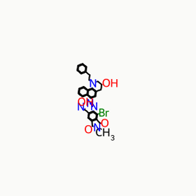 CN1C(=O)c2cc(C#N)c(/N=N/c3cc4c(c5cccc(O)c35)N(CCc3ccccc3)CC(O)C4)c(Br)c2C1=O